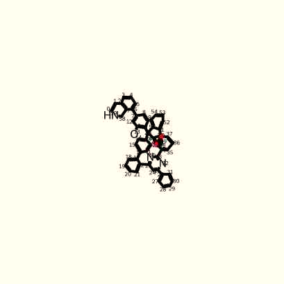 C1=Cc2cccc(-c3ccc4c(c3)Oc3cc(-c5ccccc5-c5cc(-c6ccccc6)nc(-c6ccccc6)n5)ccc3C43c4ccccc4-c4ccccc43)c2CN1